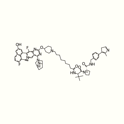 C#Cc1c(F)ccc2cc(O)cc(-c3ncc4c(N5CC6CCC(C5)N6)nc(OC5CCN(CCCCCCCCC(=O)NC(C(=O)N6CCC[C@H]6C(=O)NCc6ccc(C7=C(C)N=CC7)cc6)C(C)(C)C)CC5)nc4c3F)c12